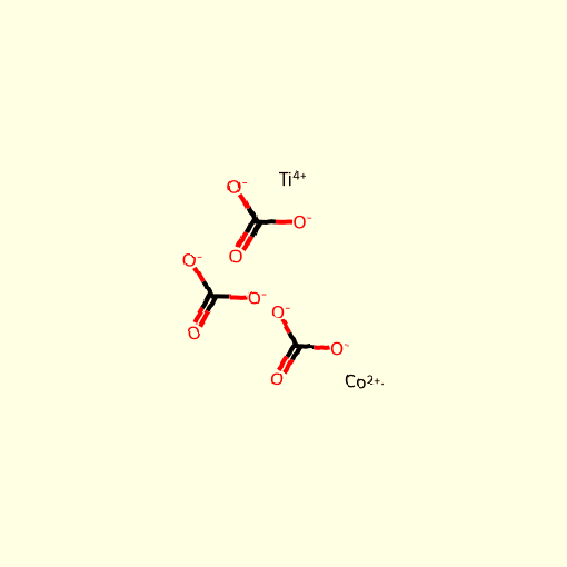 O=C([O-])[O-].O=C([O-])[O-].O=C([O-])[O-].[Co+2].[Ti+4]